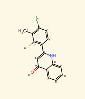 Cc1c(Cl)ccc(-c2cc(=O)c3ccccc3[nH]2)c1F